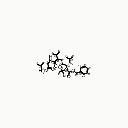 CC(C)C[C@H](NC(=O)C(C[C@@H]1OC(C)(C)N(C(=O)OCc2ccccc2)[C@H]1CC(C)C)C(C)C)C(N)=O